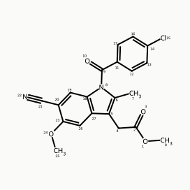 COC(=O)Cc1c(C)n(C(=O)c2ccc(Cl)cc2)c2cc(C#N)c(OC)cc12